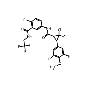 COc1c(F)cc(C2C(C(=O)Nc3ccc(Cl)c(C(=O)NCC(F)(F)F)c3)C2(Cl)Cl)cc1F